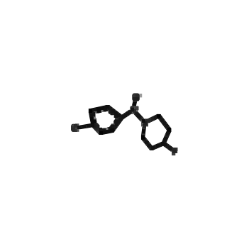 [O-][S+](c1ccc(Cl)cc1)N1CCC(F)CC1